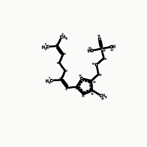 CC(C)=CCCC(C)=Cc1cc(C)c(COCP(=O)(O)O)o1